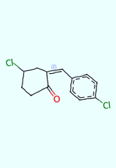 O=C1CCC(Cl)C/C1=C/c1ccc(Cl)cc1